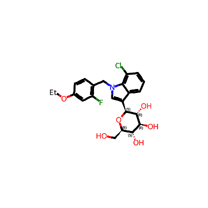 CCOc1ccc(Cn2cc([C@@H]3O[C@H](CO)[C@@H](O)[C@H](O)[C@H]3O)c3cccc(Cl)c32)c(F)c1